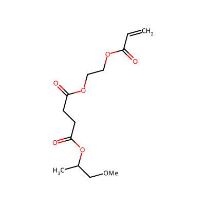 C=CC(=O)OCCOC(=O)CCC(=O)OC(C)COC